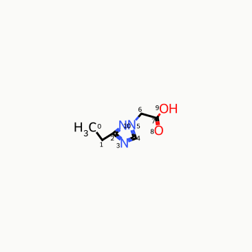 CCc1ncn(CC(=O)O)n1